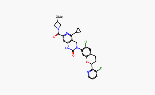 COC1CN(C(=O)c2cc3c(c(C4CC4)n2)CN(c2cc4c(cc2Cl)CCC(c2ncccc2F)O4)C(=O)N3)C1